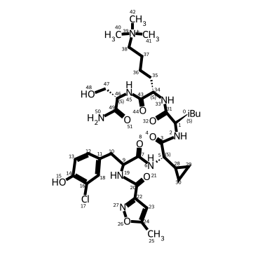 CC[C@H](C)C(NC(=O)[C@@H](NC(=O)C(Cc1ccc(O)c(Cl)c1)NC(=O)c1cc(C)on1)C1CC1)C(=O)N[C@@H](CCCC[N+](C)(C)C)C(=O)N[C@@H](CO)C(N)=O